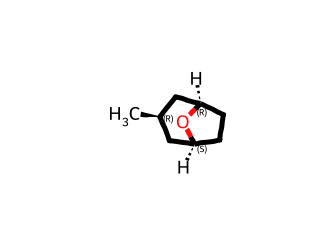 C[C@H]1C[C@H]2CC[C@@H](C1)O2